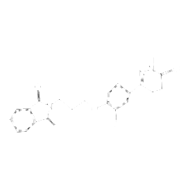 O=C1CCC(c2ccc(OCCCN3C(=O)c4ccccc4C3=O)c(Cl)c2)=NN1